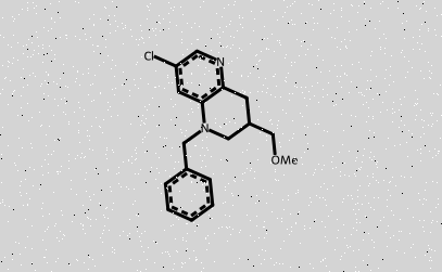 COCC1Cc2ncc(Cl)cc2N(Cc2ccccc2)C1